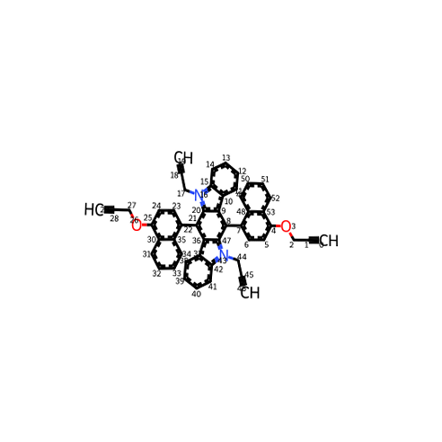 C#CCOc1ccc(-c2c3c4ccccc4n(CC#C)c3c(-c3ccc(OCC#C)c4ccccc34)c3c4ccccc4n(CC#C)c23)c2ccccc12